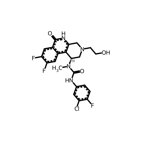 CN(C(=O)Nc1ccc(F)c(Cl)c1)[C@@H]1CN(CCO)Cc2[nH]c(=O)c3cc(F)c(F)cc3c21